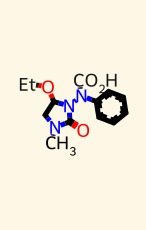 CCOC1CN(C)C(=O)N1N(C(=O)O)c1ccccc1